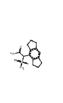 N=S(N)(=O)C(C(N)=O)c1c2c(cc3c1CCC3)CCC2